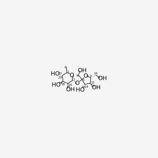 CC1O[C@H](OC2(CO)O[C@H](CO)[C@@H](O)[C@@H]2O)C(O)C(O)[C@@H]1O